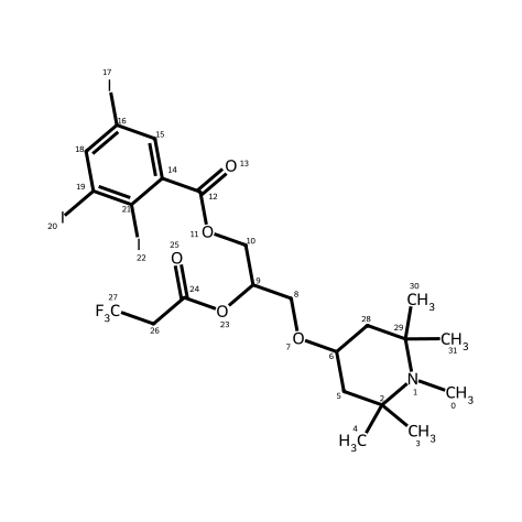 CN1C(C)(C)CC(OCC(COC(=O)c2cc(I)cc(I)c2I)OC(=O)CC(F)(F)F)CC1(C)C